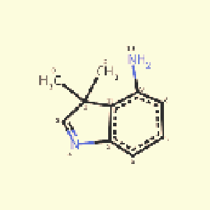 CC1(C)C=Nc2cccc(N)c21